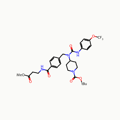 COC(=O)CCNC(=O)c1ccc(CN(C(=O)Nc2ccc(OC(F)(F)F)cc2)C2CCN(C(=O)OC(C)(C)C)CC2)cc1